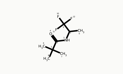 CC(NC(=O)C(C)(C)C)C(F)(F)F